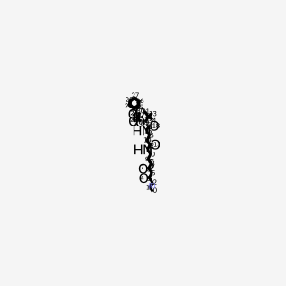 C/C=C/C(=O)CC(=O)SCCNC(=O)CCNC(=O)[C@@H]1OP(=O)(Oc2ccccc2)OCC1(C)C